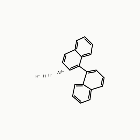 [Al+3].[H-].[H-].[H-].c1ccc2c(-c3cccc4ccccc34)cccc2c1